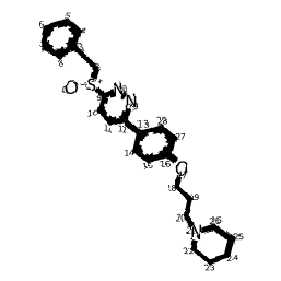 [O-][S+](Cc1ccccc1)c1ccc(-c2ccc(OCCCN3CCCCC3)cc2)nn1